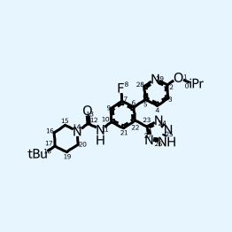 CC(C)Oc1ccc(-c2c(F)cc(NC(=O)N3CCC(C(C)(C)C)CC3)cc2-c2nn[nH]n2)cn1